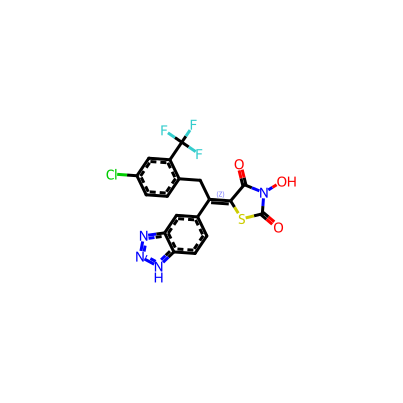 O=C1S/C(=C(/Cc2ccc(Cl)cc2C(F)(F)F)c2ccc3[nH]nnc3c2)C(=O)N1O